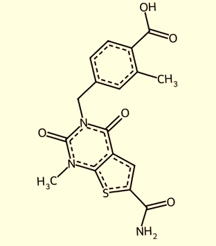 Cc1cc(Cn2c(=O)c3cc(C(N)=O)sc3n(C)c2=O)ccc1C(=O)O